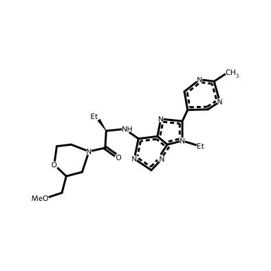 CC[C@@H](Nc1ncnc2c1nc(-c1cnc(C)nc1)n2CC)C(=O)N1CCOC(COC)C1